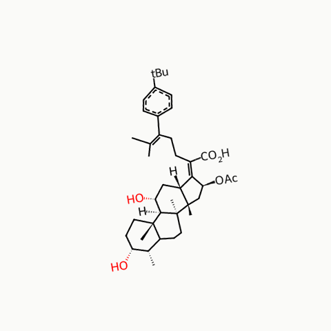 CC(=O)O[C@H]1C[C@@]2(C)[C@H](C[C@@H](O)[C@@H]3[C@@]4(C)CC[C@@H](O)[C@@H](C)C4CC[C@@]32C)C1=C(CCC(=C(C)C)c1ccc(C(C)(C)C)cc1)C(=O)O